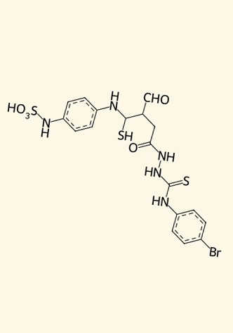 O=CC(CC(=O)NNC(=S)Nc1ccc(Br)cc1)C(S)Nc1ccc(NS(=O)(=O)O)cc1